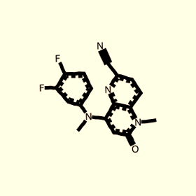 CN(c1ccc(F)c(F)c1)c1cc(=O)n(C)c2ccc(C#N)nc12